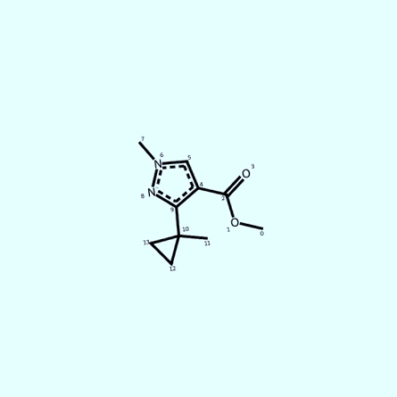 COC(=O)c1cn(C)nc1C1(C)CC1